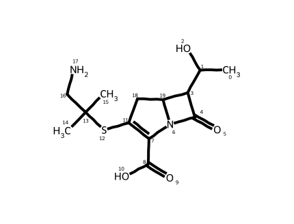 CC(O)C1C(=O)N2C(C(=O)O)=C(SC(C)(C)CN)CC12